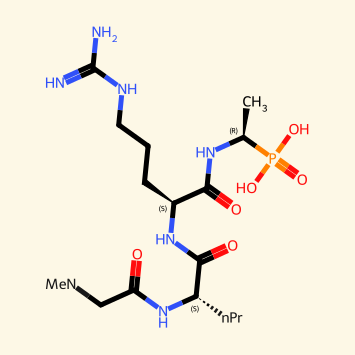 CCC[C@H](NC(=O)CNC)C(=O)N[C@@H](CCCNC(=N)N)C(=O)N[C@@H](C)P(=O)(O)O